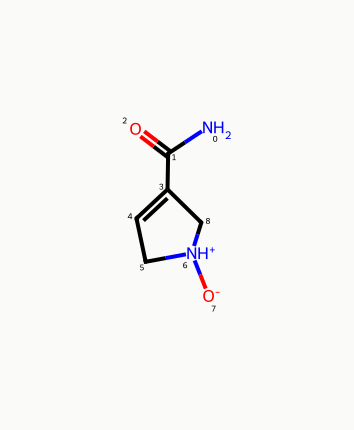 NC(=O)C1=CC[NH+]([O-])C1